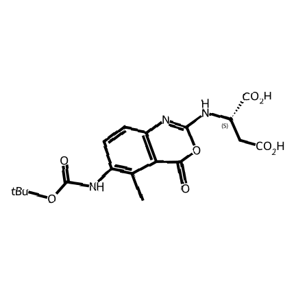 Cc1c(NC(=O)OC(C)(C)C)ccc2nc(N[C@@H](CC(=O)O)C(=O)O)oc(=O)c12